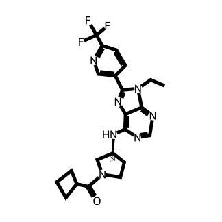 CCn1c(-c2ccc(C(F)(F)F)nc2)nc2c(N[C@H]3CCN(C(=O)C4CCC4)C3)ncnc21